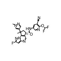 Cn1cc([C@]2(C)C[C@H](C(=O)Nc3cnc(OC(F)F)c(C#N)c3)c3cnc4cc(F)nn4c32)cn1